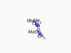 COc1cc(-c2cn([C@H]3CCC[C@@H](C(C)(C)C)N(C)C3=O)nn2)ccc1-n1cnc(C)c1